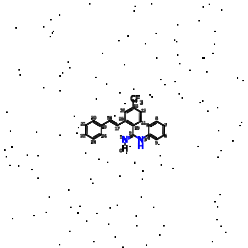 [H]/N=C(\Nc1ccccc1)c1ccc(C(F)(F)F)cc1C=Cc1ccccc1